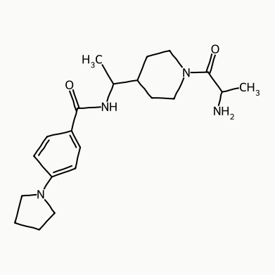 CC(N)C(=O)N1CCC(C(C)NC(=O)c2ccc(N3CCCC3)cc2)CC1